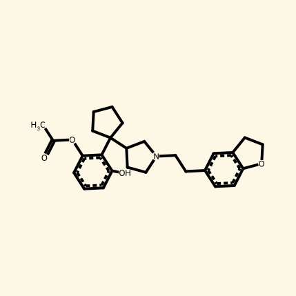 CC(=O)Oc1cccc(O)c1C1(C2CCN(CCc3ccc4c(c3)CCO4)C2)CCCC1